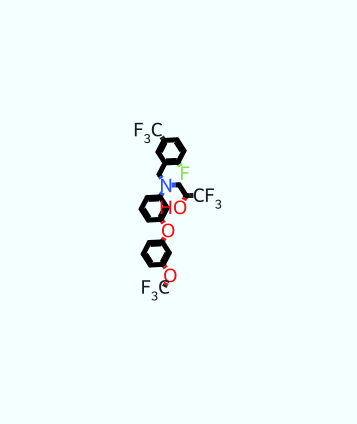 OC(CN(Cc1cc(C(F)(F)F)ccc1F)c1cccc(Oc2cccc(OC(F)(F)F)c2)c1)C(F)(F)F